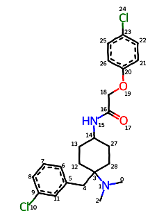 CN(C)C1(Cc2cccc(Cl)c2)CCC(NC(=O)COc2ccc(Cl)cc2)CC1